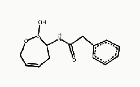 O=C(Cc1ccccc1)NC1CC=CCOB1O